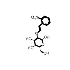 O=[N+]([O-])c1ccccc1/C=C/O[C@@H]1[C@@H](O)[C@@H](O)[C@@H](CO)O[C@H]1O